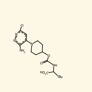 CC(C)(C)C(NC(=O)OC1CCN(c2cc(Cl)nnc2N)CC1)C(=O)O